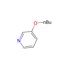 CCCCOc1cc[c]nc1